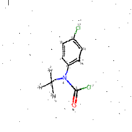 [2H]C([2H])([2H])N(C(=O)Cl)c1ccc(Cl)cc1